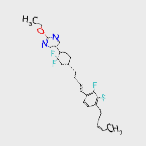 C/C=C\Cc1ccc(/C=C/CCC2CCC(c3cnc(OCC)nc3)C(F)(F)C2)c(F)c1F